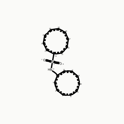 O=S(=O)(Nc1ccccccccc1)c1ccccccccc1